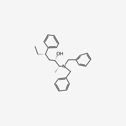 CC[C@@H](C[C@H](O)[C@@H](C)N(Cc1ccccc1)Cc1ccccc1)c1ccccc1